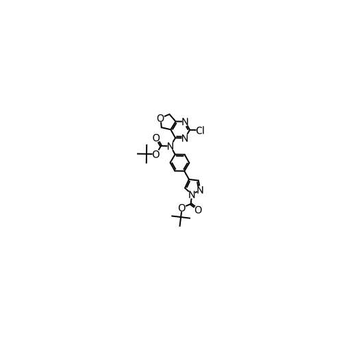 CC(C)(C)OC(=O)N(c1ccc(-c2cnn(C(=O)OC(C)(C)C)c2)cc1)c1nc(Cl)nc2c1COC2